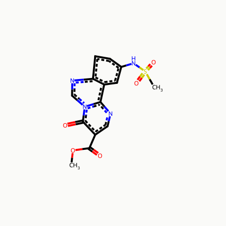 COC(=O)c1cnc2c3cc(NS(C)(=O)=O)ccc3ncn2c1=O